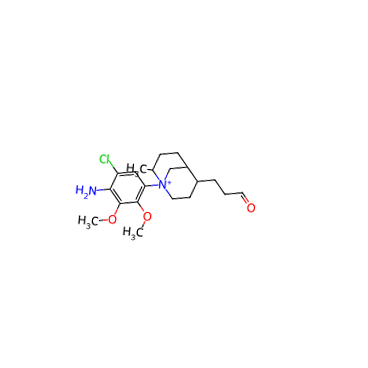 COc1c([N+]23CCC(CCC=O)C(CCC2C)C3)cc(Cl)c(N)c1OC